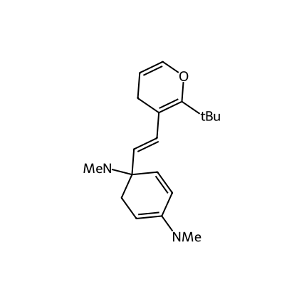 CNC1=CCC(C=CC2=C(C(C)(C)C)OC=CC2)(NC)C=C1